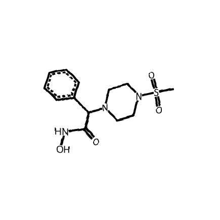 CS(=O)(=O)N1CCN(C(C(=O)NO)c2ccccc2)CC1